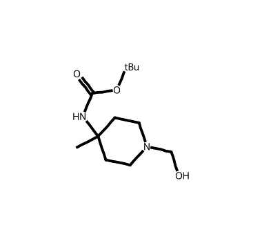 CC1(NC(=O)OC(C)(C)C)CCN(CO)CC1